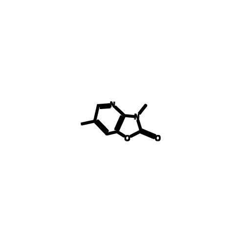 Cc1cnc2c(c1)oc(=O)n2C